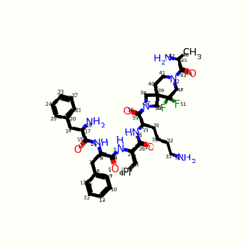 CC(C)CC(NC(=O)C(Cc1ccccc1)NC(=O)C(N)Cc1ccccc1)C(=O)NC(CCCCN)C(=O)N1CC2(CCN(C(=O)C(C)N)CC2(F)F)C1